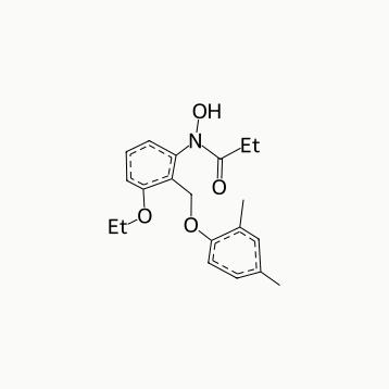 CCOc1cccc(N(O)C(=O)CC)c1COc1ccc(C)cc1C